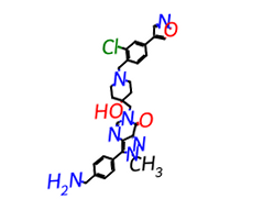 Cn1nc2c(=O)n(CC3(O)CCN(Cc4ccc(-c5cnoc5)cc4Cl)CC3)cnc2c1-c1ccc(CN)cc1